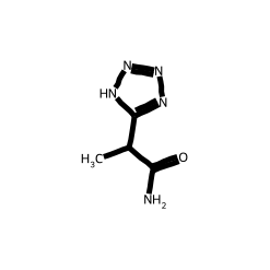 C[C](C(N)=O)c1nnn[nH]1